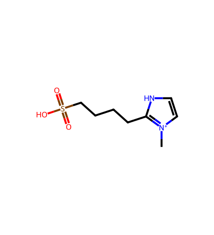 C[n+]1cc[nH]c1CCCCS(=O)(=O)O